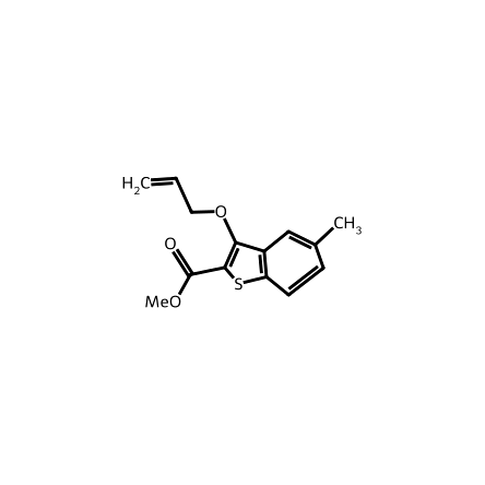 C=CCOc1c(C(=O)OC)sc2ccc(C)cc12